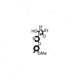 CC[C@H]1NC(O)N(c2cncc(Oc3ccc(C)c(OC)c3)c2)C1=O